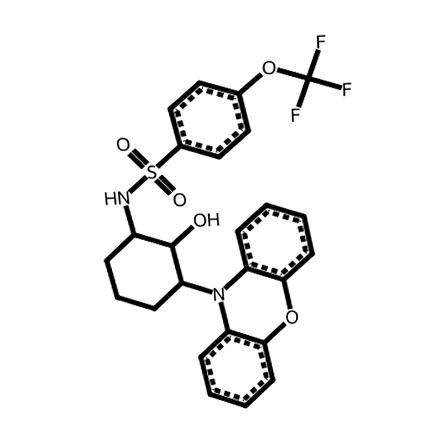 O=S(=O)(NC1CCCC(N2c3ccccc3Oc3ccccc32)C1O)c1ccc(OC(F)(F)F)cc1